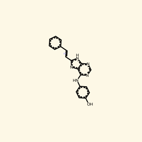 Oc1ccc(Nc2ncnc3[nH]c(/C=C/c4ccccc4)nc23)cc1